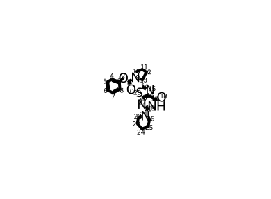 O=C(Oc1ccccc1)N1CCC[C@@H]1c1nc2c(=O)[nH]c(N3CCCCC3)nc2s1